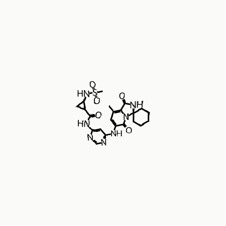 Cc1cc(Nc2cc(NC(=O)C3CC3NS(C)(=O)=O)ncn2)c(=O)n2c1C(=O)NC21CCCCC1